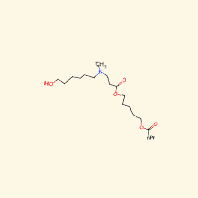 CCCC(=O)OCCCCCOC(=O)CCN(C)CCCCCCO